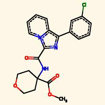 COC(=O)C1(NC(=O)c2nc(-c3cccc(Cl)c3)c3ccccn23)CCOCC1